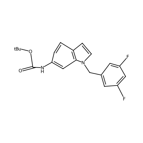 CC(C)(C)OC(=O)Nc1ccc2ccn(Cc3cc(F)cc(F)c3)c2c1